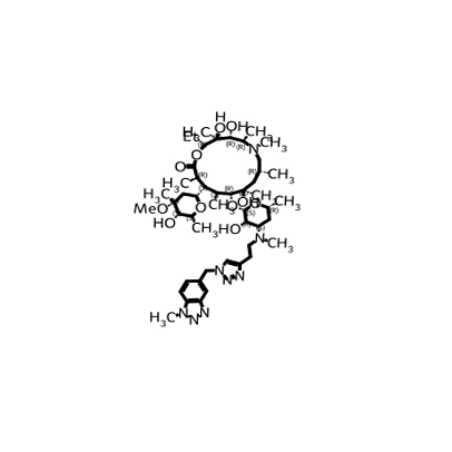 CC[C@H]1OC(=O)[C@H](C)[C@@H](C2C[C@@](C)(OC)[C@@H](O)[C@H](C)O2)[C@H](C)[C@@H](O[C@@H]2O[C@H](C)C[C@H](N(C)CCc3cn(Cc4ccc5c(c4)nnn5C)nn3)[C@H]2O)[C@](C)(O)C[C@@H](C)CN(C)[C@H](C)[C@@H](O)[C@]1(C)O